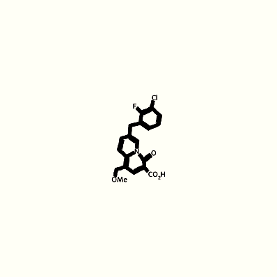 COCc1cc(C(=O)O)c(=O)n2cc(Cc3cccc(Cl)c3F)ccc12